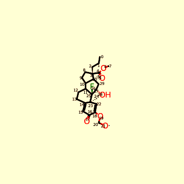 CCC[C@]1(C(=O)OC)CCC2C3CCC4=CC(=O)C(OC[O])=C[C@]4(C)[C@@]3(F)[C@@H](O)C[C@@]21C